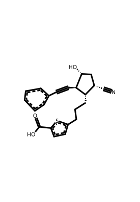 N#C[C@H]1C[C@@H](O)[C@H](C#Cc2ccccc2)[C@H]1CCCc1ccc(C(=O)O)s1